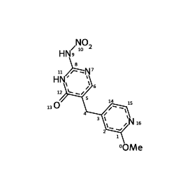 COc1cc(Cc2cnc(N[N+](=O)[O-])[nH]c2=O)ccn1